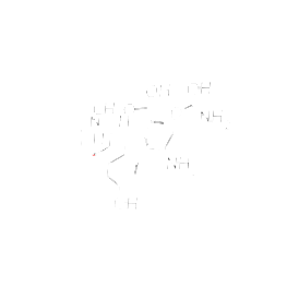 CN1CC[C@@]23CCCC[C@@H]2[C@@H]1Cc1ccc(O)cc13.NC(=O)O.Nc1ccc(C(=O)O)cc1